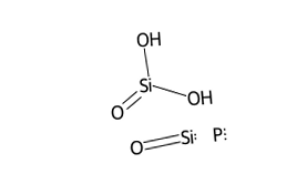 O=[Si].O=[Si](O)O.[P]